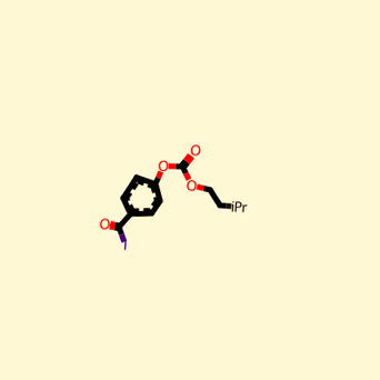 CC(C)CCOC(=O)Oc1ccc(C(=O)I)cc1